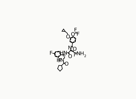 C[C@H](N)c1oc(-c2ccc(OC(F)F)c(OCC3CC3)c2)nc1C(=O)N[C@@H](CNC(=O)C1CCCC1)c1ccc(F)cc1F